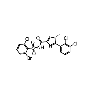 C[C@H]1C=C(C(=O)NS(=O)(=O)c2c(Cl)cccc2Br)N=C1c1cccc(Cl)c1Cl